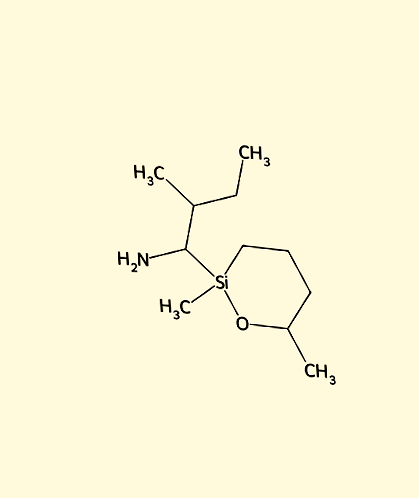 CCC(C)C(N)[Si]1(C)CCCC(C)O1